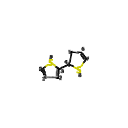 [c]1ccc([C]2CC=CS2)s1